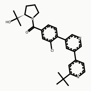 CC(C)(C)c1cc(-c2cncc(-c3ccc(C(=O)N4CCC[C@H]4C(C)(C)O)cc3Cl)c2)ccn1